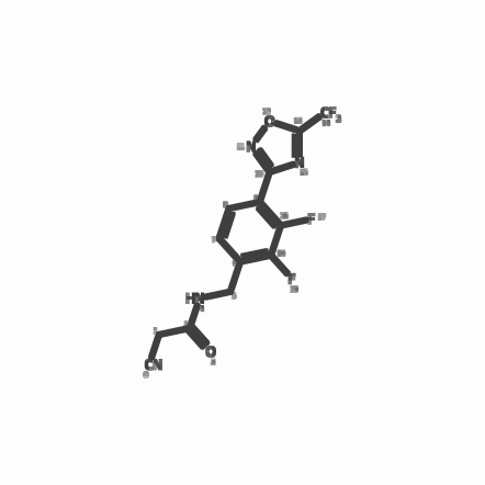 N#CCC(=O)NCc1ccc(-c2noc(C(F)(F)F)n2)c(F)c1F